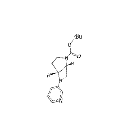 CC(C)(C)OC(=O)N1CC[C@@H]2[C@H]1CN2c1cccnc1